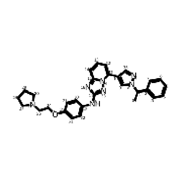 CC(c1ccccc1)n1cc(-c2cccc3nc(Nc4ccc(OCCN5CCCC5)cc4)nn23)cn1